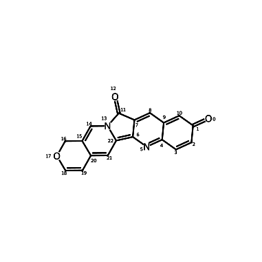 O=C1C=Cc2nc3c(cc2=C1)C(=O)N1C=C2COC=CC2=CC=31